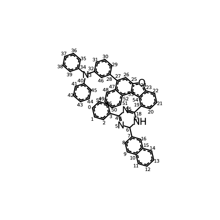 c1ccc(C2=NC(c3ccc4ccccc4c3)NC(c3cccc4oc5cc(-c6cccc(N(c7ccccc7)c7ccccc7)c6)c6ccccc6c5c34)=N2)cc1